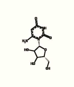 Nc1cc(=O)[nH]c(=O)n1[C@@H]1O[C@H](CO)C(O)C1O